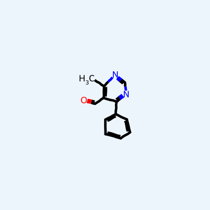 Cc1ncnc(-c2ccccc2)c1C=O